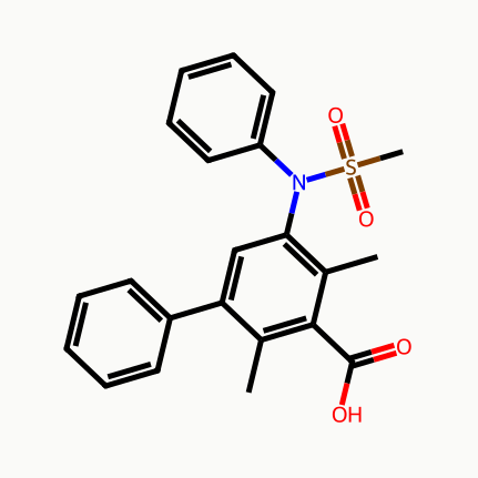 Cc1c(-c2ccccc2)cc(N(c2ccccc2)S(C)(=O)=O)c(C)c1C(=O)O